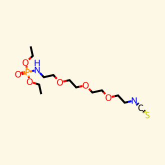 CCOP(=O)(NCCOCCOCCOCCN=C=S)OCC